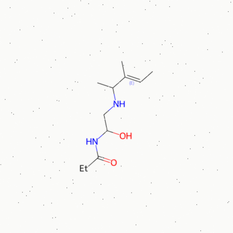 C/C=C(\C)C(C)NCC(O)NC(=O)CC